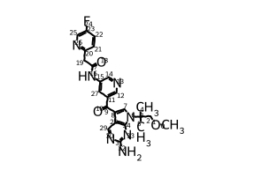 COCC(C)(C)n1cc(C(=O)c2cncc(NC(=O)Cc3ccc(F)cn3)c2)c2cnc(N)nc21